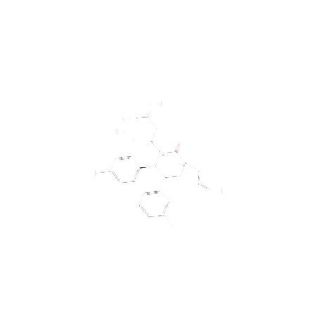 C=CC[C@@]1(C)C[C@H](c2cccc(Cl)c2)[C@@H](c2ccc(Cl)cc2)N([C@H](CO)CC(C)C)C1=O